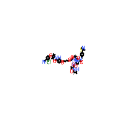 Cc1ncsc1-c1ccc(CNC(=O)[C@@H]2C[C@@H](OC(=O)[C@@H](NC(=O)[C@@H](C)C(C)C)C(C)C)CN2C(=O)[C@@H](NC(=O)COCCCCOc2ccc(C(=O)N[C@H]3C(C)(C)[C@H](Oc4ccc(C#N)c(Cl)c4)C3(C)C)cc2)C(C)(C)C)cc1